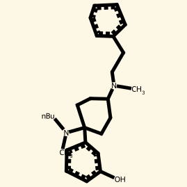 CCCCN(C)C1(c2cccc(O)c2)CCC(N(C)CCc2ccccc2)CC1